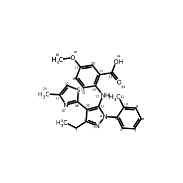 CCc1nn(-c2ccccc2C)c(Nc2ccc(OC)cc2C(=O)O)c1-c1nc(C)cs1